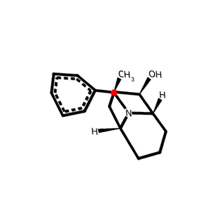 C[C@H](c1ccccc1)N1[C@@H]2CCC[C@H]1[C@H](O)CC2